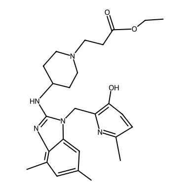 CCOC(=O)CCN1CCC(Nc2nc3c(C)cc(C)cc3n2Cc2nc(C)ccc2O)CC1